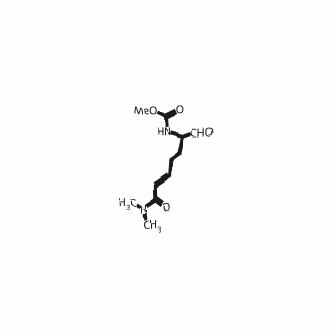 COC(=O)NC(C=O)CC/C=C/C(=O)N(C)C